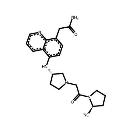 N#C[C@@H]1CCCN1C(=O)CN1CC[C@H](Nc2ccc(CC(N)=O)c3ncccc23)C1